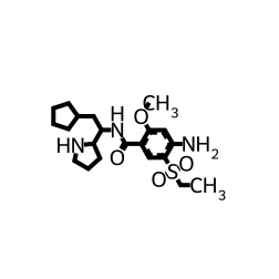 CCS(=O)(=O)c1cc(C(=O)NC(CC2CCCC2)C2CCCN2)c(OC)cc1N